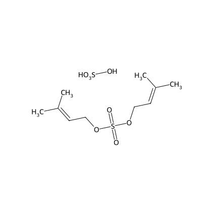 CC(C)=CCOS(=O)(=O)OCC=C(C)C.O=S(=O)(O)O